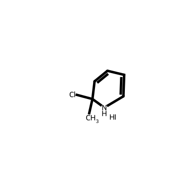 CC1(Cl)C=CC=CN1.I